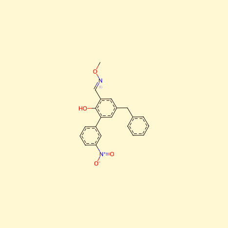 CO/N=C/c1cc(Cc2ccccc2)cc(-c2cccc([N+](=O)[O-])c2)c1O